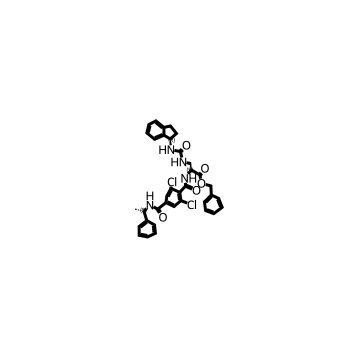 C[C@H](NC(=O)c1cc(Cl)c(C(=O)N[C@@H](CNC(=O)N[C@@H]2CCc3ccccc32)C(=O)OCc2ccccc2)c(Cl)c1)c1ccccc1